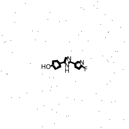 Oc1ccc(-c2cnc(-c3ccc(F)nc3)[nH]2)cc1